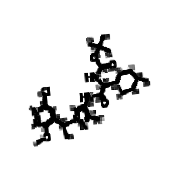 COc1nnc(Cl)cc1[C@H](C)n1cc(NC(=O)[C@@H](NC(=O)OC(C)(C)C)[C@H]2CC[C@H](C)CC2)c(F)n1